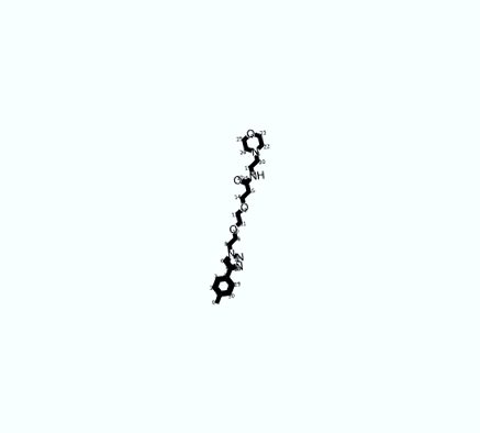 Cc1ccc(-c2cn(CCOCCOCCC(=O)NCCN3CCOCC3)nn2)cc1